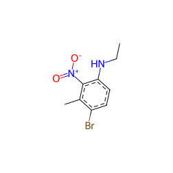 CCNc1ccc(Br)c(C)c1[N+](=O)[O-]